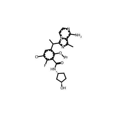 Cc1nc(C(C)c2cc(Cl)c(F)c(C(=O)N[C@@H]3CC[C@@H](O)C3)c2OC(C)C)n2ccnc(N)c12